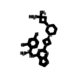 C[C@@H](Nc1nc(N2CC([C@H]3CCCN(C4CC(C)(C(=O)O)C4)C3)C2)nc2sccc12)c1ccc(Cl)cc1Cl